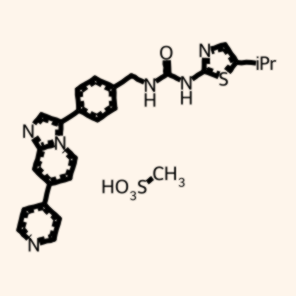 CC(C)c1cnc(NC(=O)NCc2ccc(-c3cnc4cc(-c5ccncc5)ccn34)cc2)s1.CS(=O)(=O)O